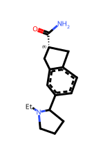 CCN1CCCC1c1ccc2c(c1)C[C@H](C(N)=O)C2